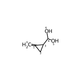 C=C1CC1C(O)O